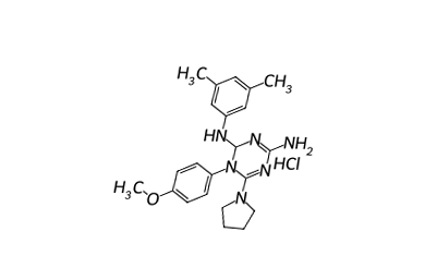 COc1ccc(N2C(N3CCCC3)=NC(N)=NC2Nc2cc(C)cc(C)c2)cc1.Cl